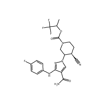 CC(OC(=O)N1CC[C@@H](C#N)C(n2cc(C(N)=O)c(Nc3ccc(F)cc3)n2)C1)C(F)(F)F